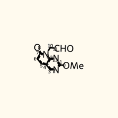 COc1ncc2ccc(=O)n(CC=O)c2n1